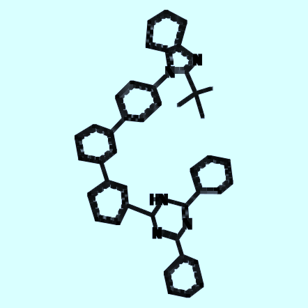 CC(C)(C)c1nc2ccccc2n1-c1ccc(-c2cccc(-c3cccc(C4N=C(c5ccccc5)N=C(c5ccccc5)N4)c3)c2)cc1